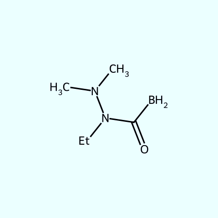 BC(=O)N(CC)N(C)C